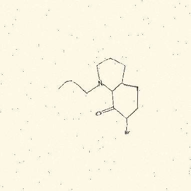 CCCN1CCCC2CCC(Br)C(=O)C21